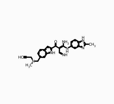 C#CCN(C)Cc1ccc2cc(C(=O)/C(C=N)=C(\N)Nc3ccc4[nH]c(C)nc4c3)[nH]c2c1